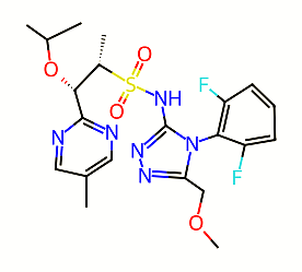 COCc1nnc(NS(=O)(=O)[C@@H](C)[C@@H](OC(C)C)c2ncc(C)cn2)n1-c1c(F)cccc1F